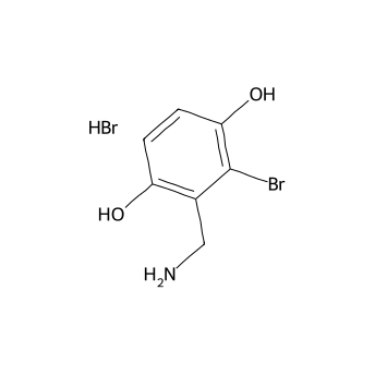 Br.NCc1c(O)ccc(O)c1Br